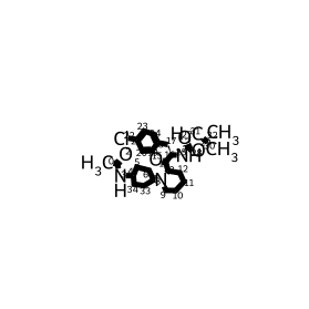 CC(=O)NC1CCC(N2CCCCC2C(=O)[C@H](Cc2ccc(Cl)cc2)NC(=O)OC(C)(C)C)CC1